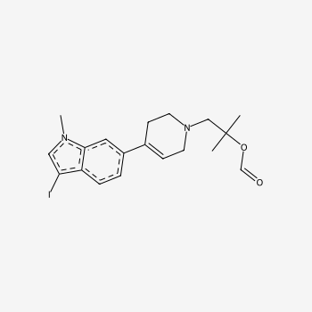 Cn1cc(I)c2ccc(C3=CCN(CC(C)(C)OC=O)CC3)cc21